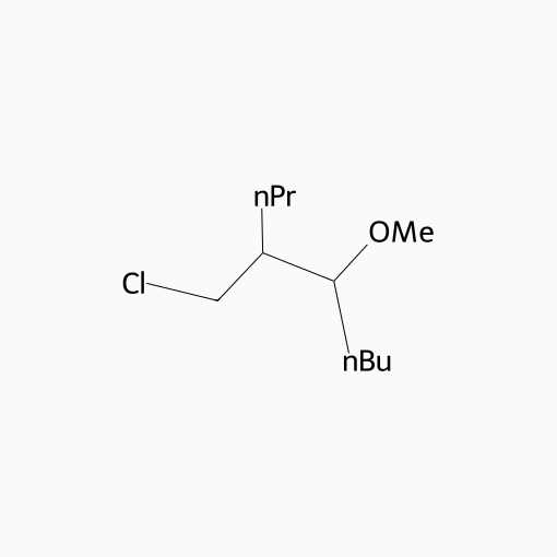 CCCCC(OC)C(CCl)CCC